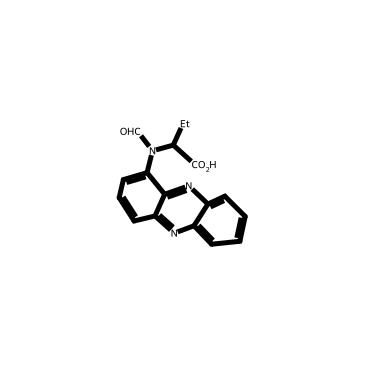 CCC(C(=O)O)N(C=O)c1cccc2nc3ccccc3nc12